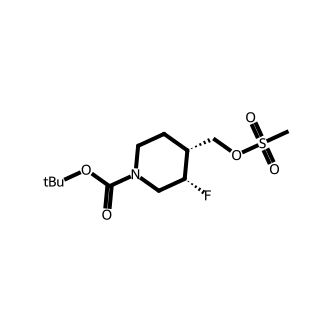 CC(C)(C)OC(=O)N1CC[C@H](COS(C)(=O)=O)[C@H](F)C1